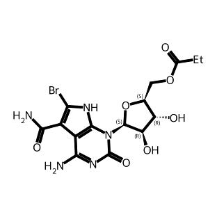 CCC(=O)OC[C@@H]1O[C@H](n2c(=O)nc(N)c3c(C(N)=O)c(Br)[nH]c32)[C@H](O)[C@H]1O